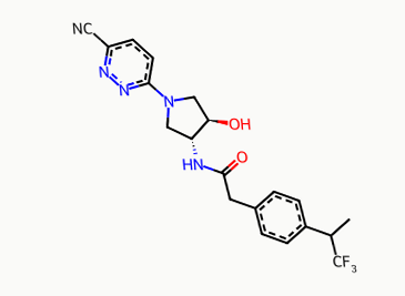 CC(c1ccc(CC(=O)N[C@@H]2CN(c3ccc(C#N)nn3)C[C@H]2O)cc1)C(F)(F)F